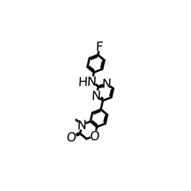 CN1C(=O)COc2ccc(-c3ccnc(Nc4ccc(F)cc4)n3)cc21